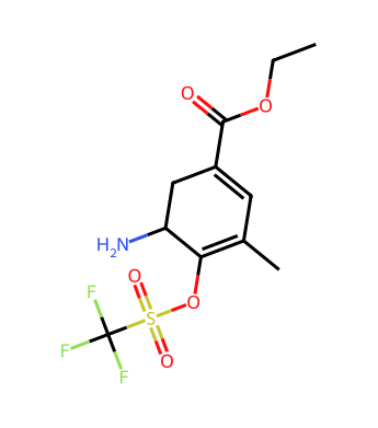 CCOC(=O)C1=CC(C)=C(OS(=O)(=O)C(F)(F)F)C(N)C1